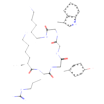 CC(=O)N[C@@H](CCCCN)C(=O)N[C@@H](CCCNC(=N)N)C(=O)N[C@@H](Cc1ccc(O)cc1)C(=O)NCC(=O)N[C@@H](Cc1c[nH]c2ccccc12)C(=O)N[C@@H](CCCCN)C(=O)O